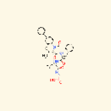 CC(C)[C@@H](C(=O)N[C@@H](Cc1ccccc1)C(=O)N[C@@H](C)C(=O)NCB(O)O)N(C=O)c1ccc(-c2ccccc2)cc1